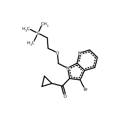 C[Si](C)(C)CCOCn1c(C(=O)C2CC2)c(Br)c2cccnc21